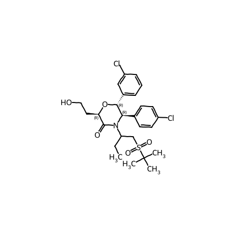 CCC(CS(=O)(=O)C(C)(C)C)N1C(=O)[C@@H](CCO)O[C@H](c2cccc(Cl)c2)[C@H]1c1ccc(Cl)cc1